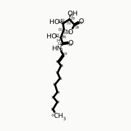 CCCCCCCCCC=CNC(=O)[C@H](O)[C@H]1OC(=O)[C@@H](O)[C@H]1O